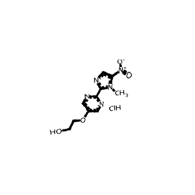 Cl.Cn1c([N+](=O)[O-])cnc1-c1ncc(OCCO)cn1